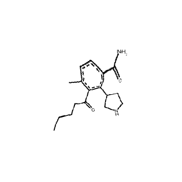 CCCCC(=O)c1c(C)ccc(C(N)=O)c1C1CCNC1